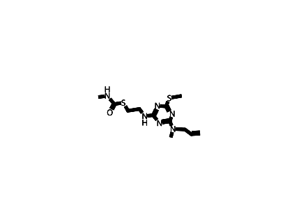 C=CCN(C)c1nc(NCCSC(=O)NC)nc(SC)n1